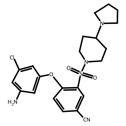 N#Cc1ccc(Oc2cc(N)cc(Cl)c2)c(S(=O)(=O)N2CCC(N3CCCC3)CC2)c1